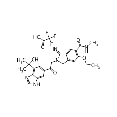 CCOc1cc2c(cc1C(=O)NC)C(=N)N(CC(=O)c1cc(C(C)(C)C)c3nc[nH]c3c1)C2.O=C(O)C(F)(F)F